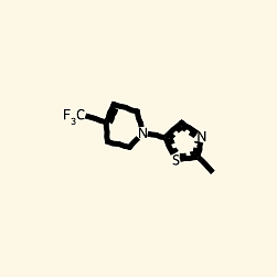 Cc1ncc(N2CC=C(C(F)(F)F)CC2)s1